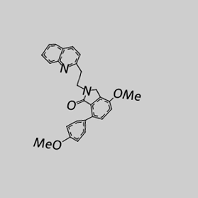 COc1ccc(-c2ccc(OC)c3c2C(=O)N(CCc2ccc4ccccc4n2)C3)cc1